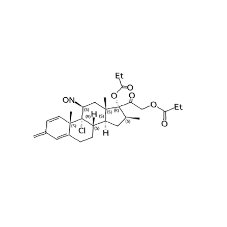 C=C1C=C[C@@]2(C)C(=C1)CC[C@H]1[C@@H]3C[C@H](C)[C@](OC(=O)CC)(C(=O)COC(=O)CC)[C@@]3(C)C[C@H](N=O)[C@@]12Cl